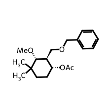 CO[C@@H]1[C@@H](COCc2ccccc2)[C@H](OC(C)=O)CCC1(C)C